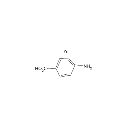 Nc1ccc(C(=O)O)cc1.[Zn]